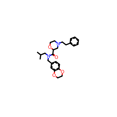 CC(C)CN(Cc1ccc2c(c1)OCCO2)C(=O)C1CN(CCc2ccccc2)CCO1